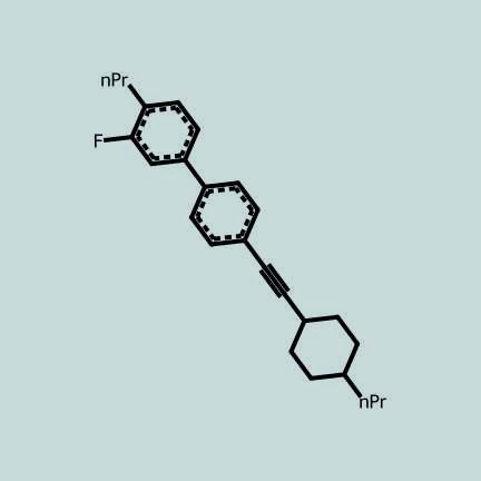 CCCc1ccc(-c2ccc(C#CC3CCC(CCC)CC3)cc2)cc1F